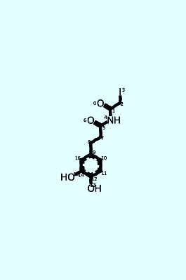 O=C(CI)NC(=O)CCc1ccc(O)c(O)c1